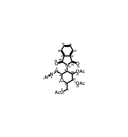 CC(=O)OCC1O[C@@H](N=[N+]=[N-])[C@@H](N2C(=O)c3ccccc3C2=O)C(OC(C)=O)[C@@H]1OC(C)=O